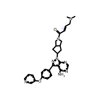 CN(C)C/C=C/C(=O)N1CC2CC(n3nc(-c4ccc(Oc5cccnc5)cc4)c4c(N)ncnc43)CC2C1